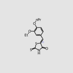 CCCOc1ccc(/C=C2\SC(=S)NC2=O)cc1OCC